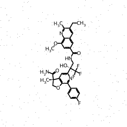 CCc1cc2cc(C(=O)NC[C@](O)(c3cc4c(c(-c5ccc(F)cc5)n3)OC[C@]4(C)C(N)=O)C(F)(F)F)cc(OC)c2nc1C